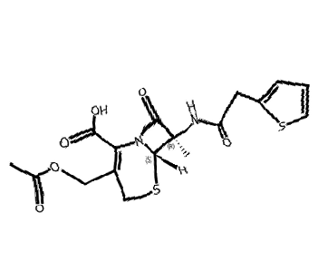 CC(=O)OCC1=C(C(=O)O)N2C(=O)[C@@](C)(NC(=O)Cc3cccs3)[C@@H]2SC1